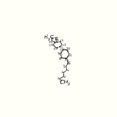 CCCCCCCC1CCC([C@H]2CC[C@](F)(CC)CC2)CC1